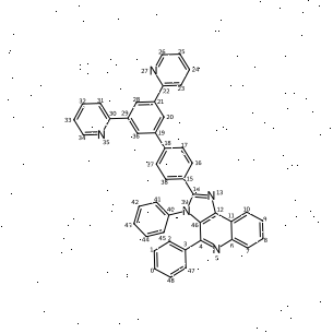 c1ccc(-c2nc3ccccc3c3nc(-c4ccc(-c5cc(-c6ccccn6)cc(-c6ccccn6)c5)cc4)n(-c4ccccc4)c23)cc1